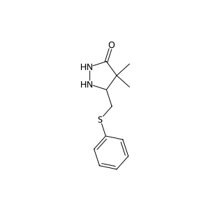 CC1(C)C(=O)NNC1CSc1ccccc1